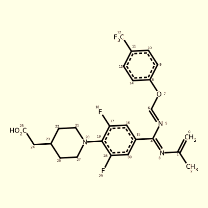 C=C(C)/N=C(\N=C\Oc1ccc(C(F)(F)F)cc1)c1cc(F)c(N2CCC(CC(=O)O)CC2)c(F)c1